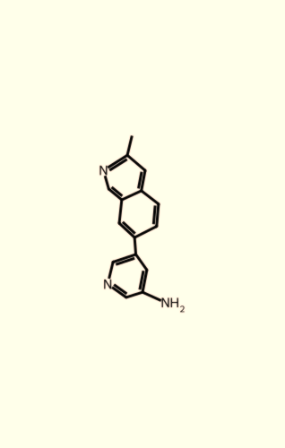 Cc1cc2ccc(-c3cncc(N)c3)cc2cn1